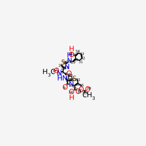 CON=C(C(=O)N[C@@H]1C(=O)N2C(C(=O)O)=C(COC(C)=O)CS[C@H]12)c1csc(NC=C2CC=CC=C2O)n1